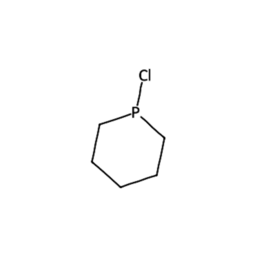 ClP1CCCCC1